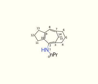 CCCNC1=C2CCCC(=CC3=C1CCC3)C2C